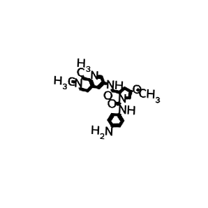 CO[C@@H]1CC(C(=O)Nc2cnc3c(c2)CCN(C)C3C)N(C(=O)Nc2ccc(N)cc2)C1